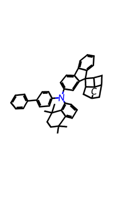 CC1(C)CCC(C)(C)c2c(N(c3ccc(-c4ccccc4)cc3)c3ccc4c(c3)C3(c5ccccc5-4)C4CC5CC6CC3C64C5)cccc21